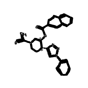 O=C(O[C@@H]1CN(C(=O)O)CC[C@H]1c1cn(-c2ccccc2)nn1)c1ccc2ccccc2c1